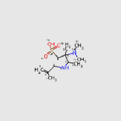 C=C(C)CNC(C)C(C)(CS(=O)(=O)O)N(C)C